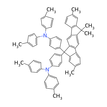 Cc1ccc(N(c2ccc(C)cc2)c2ccc(C3(c4ccc(N(c5ccc(C)cc5)c5ccc(C)cc5)cc4)c4cc(C)ccc4-c4cc5c(cc43)-c3ccc(C)cc3C5(C)C)cc2)cc1